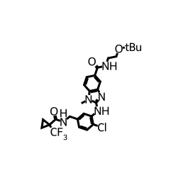 Cn1c(Nc2cc(CNC(=O)C3(C(F)(F)F)CC3)ccc2Cl)nc2cc(C(=O)NCCOC(C)(C)C)ccc21